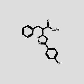 COC(=O)C(Cc1ccccc1)C1CC(c2ccc(O)cc2)=NO1